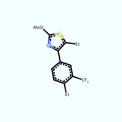 CCc1ccc(-c2nc(OC)sc2CC)cc1C(F)(F)F